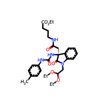 CCOC(=O)CCCNC(=O)C[C@@]1(NC(=O)Nc2ccc(C)cc2)C(=O)N(CC(OCC)OCC)c2ccccc21